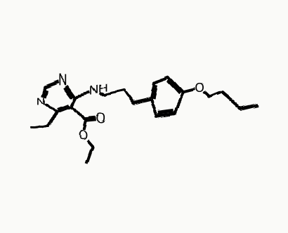 CCCCOc1ccc(CCCNc2ncnc(CC)c2C(=O)OCC)cc1